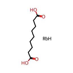 O=C(O)CCCCCCCC(=O)O.[RbH]